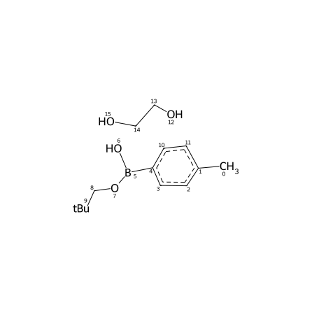 Cc1ccc(B(O)OCC(C)(C)C)cc1.OCCO